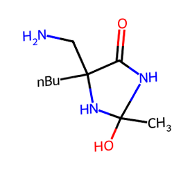 CCCCC1(CN)NC(C)(O)NC1=O